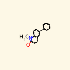 Cn1c(=O)ccc2cc(-c3ccccc3)ccc21